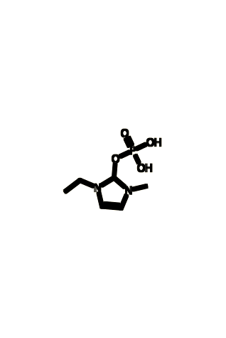 CCN1C=CN(C)C1OP(=O)(O)O